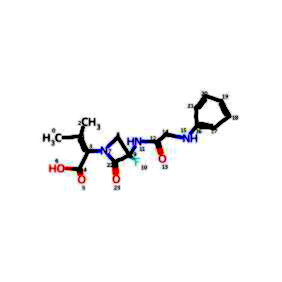 CC(C)=C(C(=O)O)N1CC(F)(NC(=O)CNc2ccccc2)C1=O